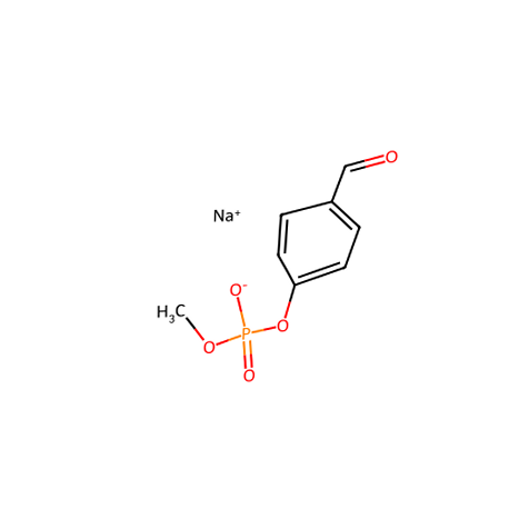 COP(=O)([O-])Oc1ccc(C=O)cc1.[Na+]